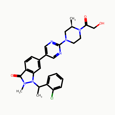 CC(c1ccccc1Cl)n1c2cc(-c3cnc(N4CCN(C(=O)CO)[C@H](C)C4)nc3)ccc2c(=O)n1C